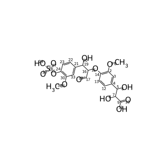 COc1cc(C(O)C(O)C(=O)O)ccc1OC(C=O)C(O)c1ccc(OS(=O)(=O)O)c(OC)c1